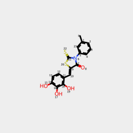 Cc1cccc(N2C(=O)/C(=C/c3ccc(O)c(O)c3O)SC2=S)c1